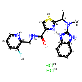 CC(=O)N(c1nc2ccccc2[nH]1)C(C)c1nc(C(=O)NCc2ncccc2F)cs1.Cl.Cl